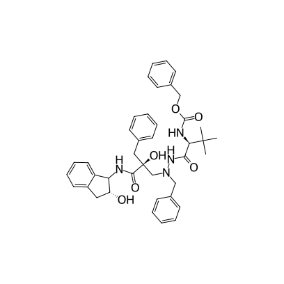 CC(C)(C)[C@H](NC(=O)OCc1ccccc1)C(=O)NN(Cc1ccccc1)C[C@@](O)(Cc1ccccc1)C(=O)NC1c2ccccc2C[C@H]1O